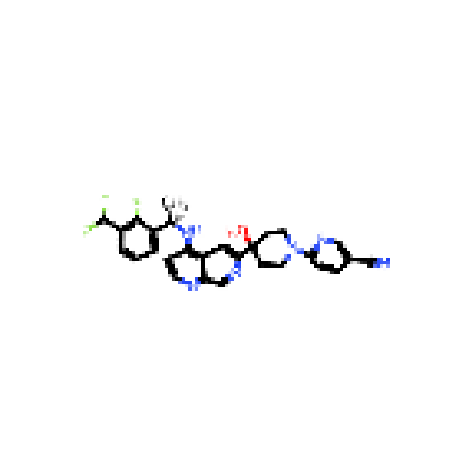 C[C@@H](Nc1ccnc2cnc(C3(O)CCN(c4ccc(C#N)cn4)CC3)cc12)c1cccc(C(F)F)c1F